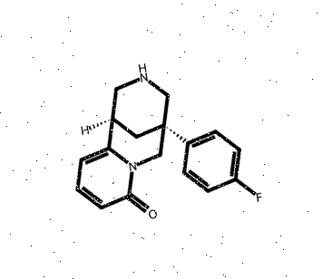 O=c1cccc2n1C[C@]1(c3ccc(F)cc3)CNC[C@H]2C1